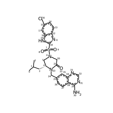 CC(C)C[C@@H]1CN(S(=O)(=O)c2nc3ccc(Cl)cc3[nH]2)CC(=O)N1Cc1ccc2c(N)ncnc2c1